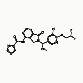 CC(c1cnc(OCC(F)F)c(Cl)c1)N1Cc2c(ccnc2NC(=O)c2cscn2)C1=O